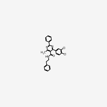 Cc1nc(-c2ccccc2)nc(-c2ccc(Cl)c(Cl)c2)c1C(=O)NCCc1ccccc1